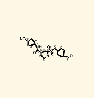 CN(c1ccc([S+](C)[O-])cc1)S(=O)(=O)c1cc(C(=O)Nc2ccc(C#N)cc2)ccn1